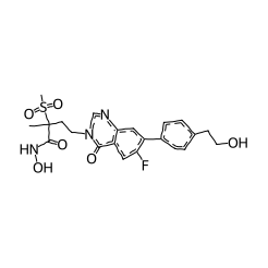 CC(CCn1cnc2cc(-c3ccc(CCO)cc3)c(F)cc2c1=O)(C(=O)NO)S(C)(=O)=O